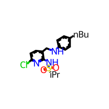 CCCCc1ccc(NCc2ccc(Cl)nc2NS(=O)(=O)C(C)C)cc1